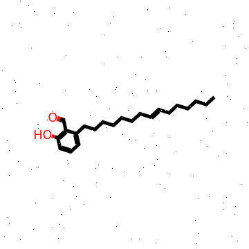 CCCCCCC=CCCCCCCCc1cccc(O)c1C=O